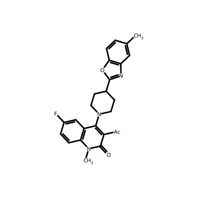 CC(=O)c1c(N2CCC(c3nc4cc(C)ccc4o3)CC2)c2cc(F)ccc2n(C)c1=O